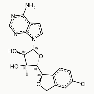 C[C@@]1(O)[C@@H]([C@@H]2OCc3cc(Cl)ccc32)O[C@@H](n2ccc3c(N)ncnc32)[C@@H]1O